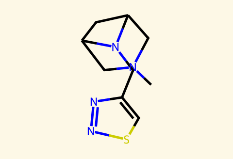 CN1CC2CC(C1)N2Cc1csnn1